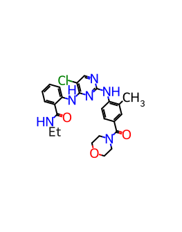 CCNC(=O)c1ccccc1Nc1nc(Nc2ccc(C(=O)N3CCOCC3)cc2C)ncc1Cl